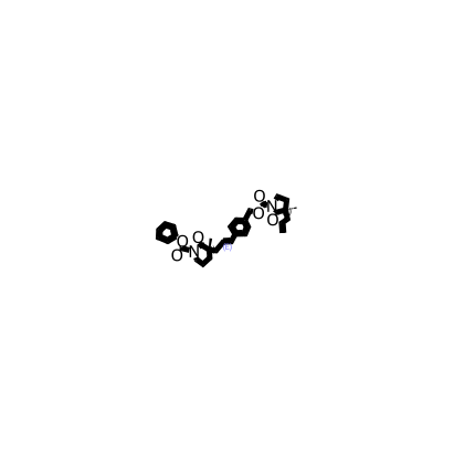 C=CC[C@]1(C)CCN(C(=O)OCc2ccc(/C=C/C[C@]3(C)CCCN(C(=O)Oc4ccccc4)C3=O)cc2)C1=O